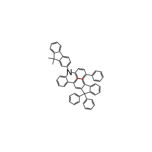 CC1(C)c2ccccc2-c2ccc(N(c3ccc(-c4ccccc4)cc3)c3ccccc3-c3ccc4c(c3)C(c3ccccc3)(c3ccccc3)c3ccccc3-4)cc21